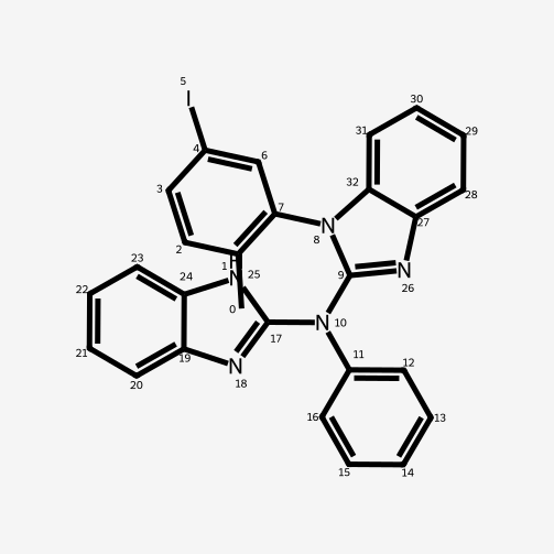 Cc1ccc(I)cc1-n1c(N(c2ccccc2)c2nc3ccccc3[nH]2)nc2ccccc21